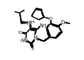 COc1ccc(Cn2c(N)c(NCC(C)C)c(=O)[nH]c2=S)cc1OC1CCCC1